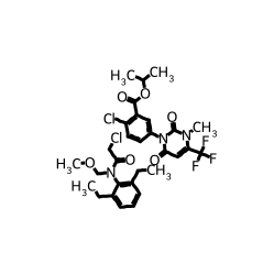 CC(C)OC(=O)c1cc(-n2c(=O)cc(C(F)(F)F)n(C)c2=O)ccc1Cl.CCc1cccc(CC)c1N(COC)C(=O)CCl